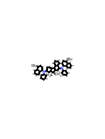 CC(C)(C)c1ccc(N(c2ccccc2)c2ccc3c(c2)C(C)(C)c2cc(N(c4ccccc4)c4ccc(C(C)(C)C)c5ccccc45)c4ccccc4c2-3)c2ccccc12